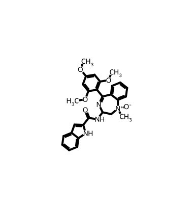 COc1cc(OC)c(C2=NC(NC(=O)c3cc4ccccc4[nH]3)C[N+](C)([O-])c3ccccc32)c(OC)c1